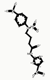 O=C(CCCN(c1ccc([N+](=O)[O-])cc1)[SH](=O)=O)Nc1ncc([N+](=O)[O-])s1